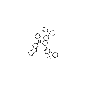 CC1(C)c2ccccc2-c2cc(-c3cccc(N(c4ccc5c(c4)C(C)(C)c4ccccc4-5)c4ccccc4-c4cccc5c4-c4ccccc4C54CCCCC4)c3)ccc21